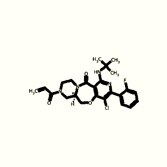 C=CC(=O)N1CCN2C(=O)c3c(NC(C)(C)C)nc(-c4ccccc4F)c(Cl)c3OC[C@H]2C1